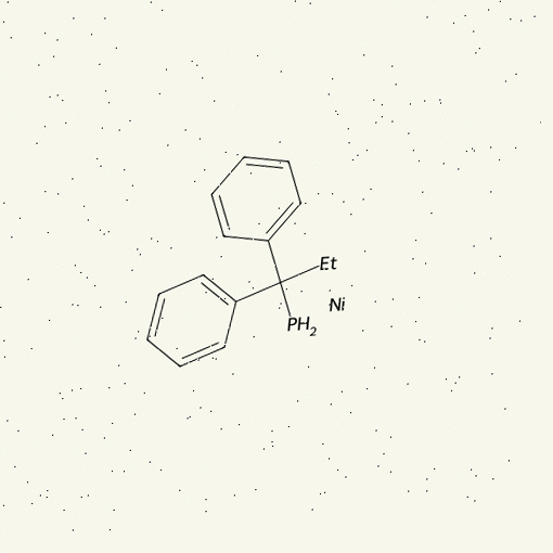 CCC(P)(c1ccccc1)c1ccccc1.[Ni]